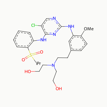 COc1ccc(CCN(CCO)CCO)cc1Nc1ncc(Cl)c(Nc2ccccc2S(=O)(=O)C(C)C)n1